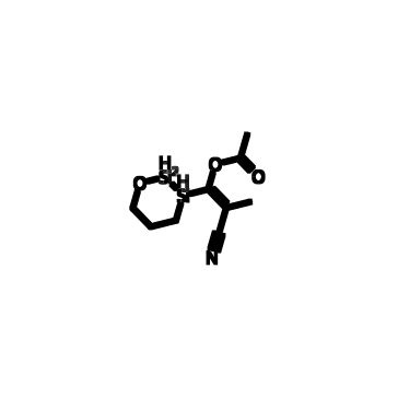 CC(=O)OC(=C(C)C#N)[SiH]1CCCO[SiH2]1